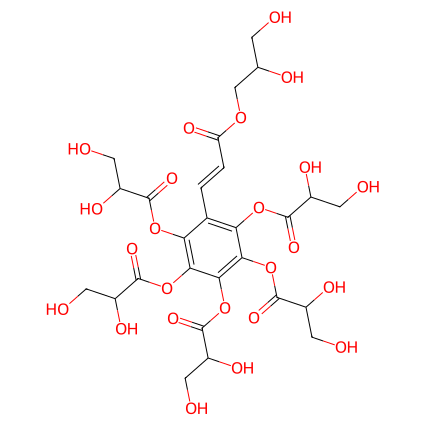 O=C(C=Cc1c(OC(=O)C(O)CO)c(OC(=O)C(O)CO)c(OC(=O)C(O)CO)c(OC(=O)C(O)CO)c1OC(=O)C(O)CO)OCC(O)CO